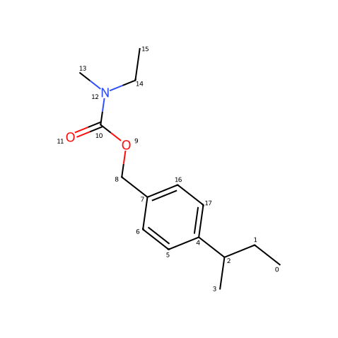 CCC(C)c1ccc(COC(=O)N(C)CC)cc1